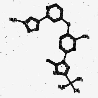 Cc1nc(-n2cc(C(C)(C)C)[nH]c2=O)ccc1Oc1ccnc(-c2cnn(C)c2)c1